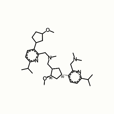 COC1CCC(c2ccc(C(C)C)nc2CN(C)CC2C[C@H](c3ccc(C(C)C)nc3CN(C)C)C[C@H]2OC)C1